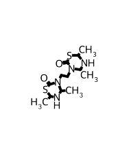 CC1NC(C)N(CCN2C(=O)SC(C)NC2C)C(=O)S1